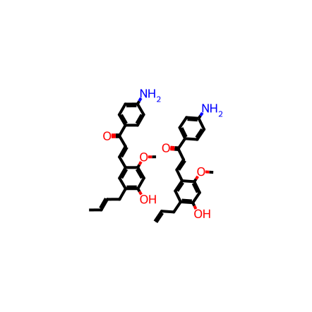 C/C=C/Cc1cc(/C=C/C(=O)c2ccc(N)cc2)c(OC)cc1O.C=CCc1cc(/C=C/C(=O)c2ccc(N)cc2)c(OC)cc1O